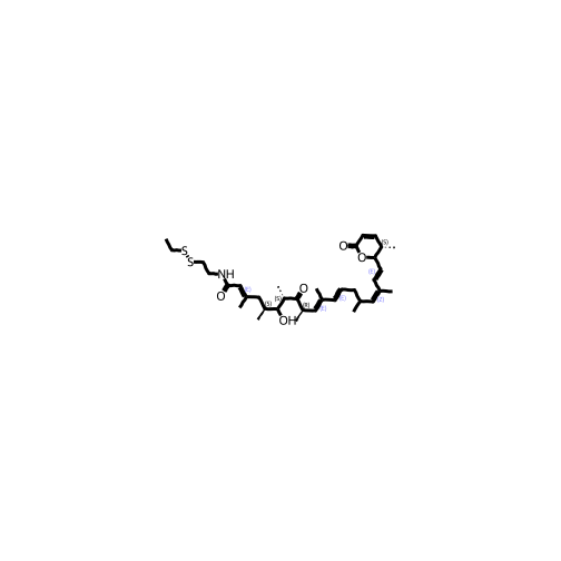 CCSSCCNC(=O)/C=C(\C)C[C@H](C)C(O)[C@H](C)C(=O)[C@H](C)/C=C(C)/C=C/CC(C)/C=C(C)\C=C\C1OC(=O)C=C[C@@H]1C